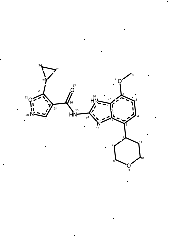 COc1ccc(C2CCOCC2)c2nc(NC(=O)c3cnoc3C3CC3)[nH]c12